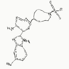 CCS(=O)(=O)N1CC=C(c2cnc(N)c(-c3nc4cc(C(C)(C)C)ccc4[nH]3)n2)CC1